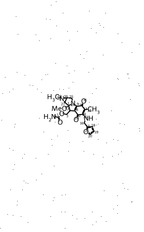 COC12C(COC(N)=O)C3=C(C(=O)C(C)=C(NCc4ccco4)C3=O)N1CC1C2N1C